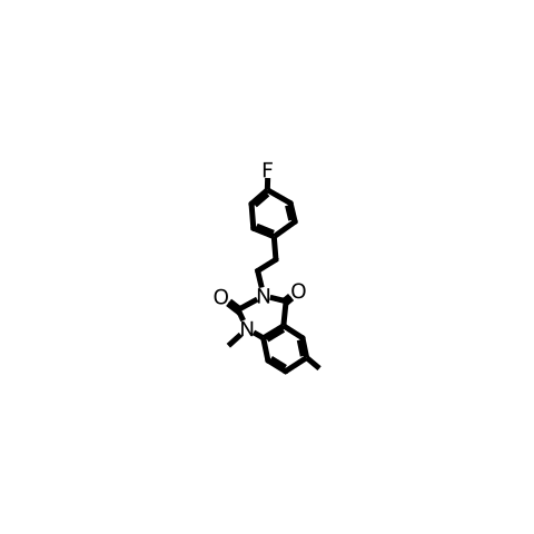 Cc1ccc2c(c1)c(=O)n(CCc1ccc(F)cc1)c(=O)n2C